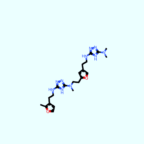 Cc1occc1CCNc1nnc(N(C)CCc2cc(CCNc3nnc(N(C)C)[nH]3)co2)[nH]1